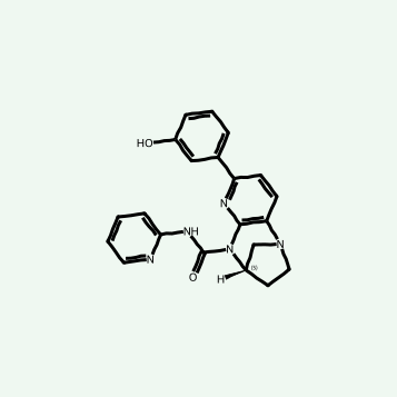 O=C(Nc1ccccn1)N1c2nc(-c3cccc(O)c3)ccc2N2CC[C@H]1C2